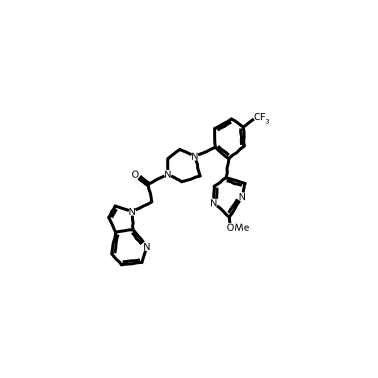 COc1ncc(-c2cc(C(F)(F)F)ccc2N2CCN(C(=O)Cn3ccc4cccnc43)CC2)cn1